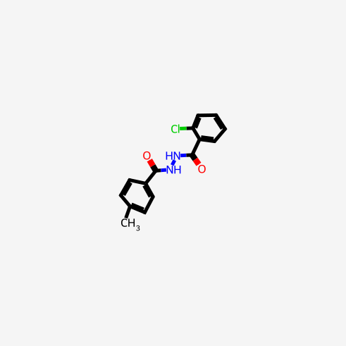 Cc1ccc(C(=O)NNC(=O)c2ccccc2Cl)cc1